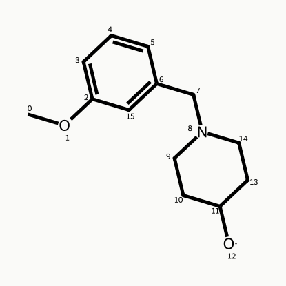 COc1cccc(CN2CCC([O])CC2)c1